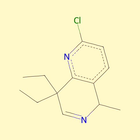 CCC1(CC)C=NC(C)c2ccc(Cl)nc21